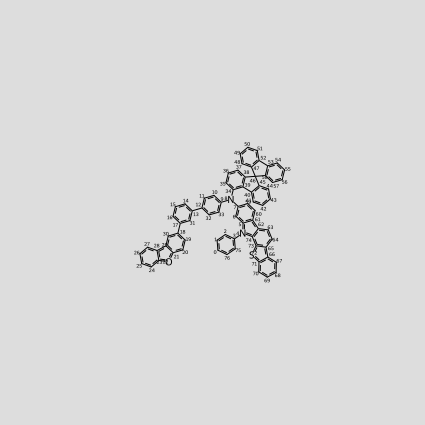 c1ccc(-n2c3cc(N(c4ccc(-c5cccc(-c6ccc7oc8ccccc8c7c6)c5)cc4)c4cccc5c4-c4ccccc4C54c5ccccc5-c5ccccc54)ccc3c3ccc4c5ccccc5sc4c32)cc1